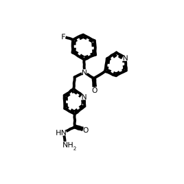 NNC(=O)c1ccc(CN(C(=O)c2ccncc2)c2cccc(F)c2)nc1